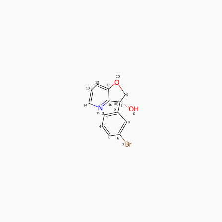 O[C@@]1(c2cccc(Br)c2)COc2cccnc21